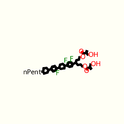 C=C(CO)C(=O)OCCCC(CCCOC(=O)C(=C)CO)c1ccc(C2CCC(c3ccc(C4CCC(CCCCC)CC4)cc3F)CC2)c(F)c1F